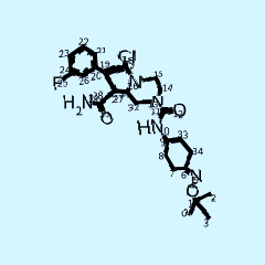 CC(C)(C)ON=C1CCC(NC(=O)N2CCN3C(Cl)=C(c4cccc(F)c4)C(C(N)=O)C3C2)CC1